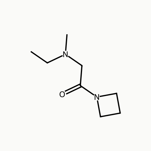 CCN(C)CC(=O)N1CCC1